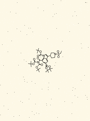 CCS(=O)(=O)N1CCC(c2cn(C(=O)OC(C)(C)C)c3c(C(=O)N(C(=O)OC(C)(C)C)C(=O)OC(C)(C)C)cc(B4OC(C)(C)C(C)(C)O4)cc23)CC1